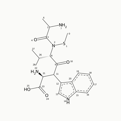 CSN(C(=O)C(C)N)[C@H](C(=O)C(c1c[nH]c2ccccc12)[C@H](N)C(=O)O)C(C)C